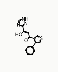 O=C(C=C(O)c1nc[nH]n1)c1cscc1-c1ccccc1